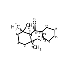 CC1(C)CCCC(C)(C)N1C(=O)C1CCCCC1